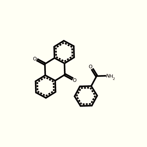 NC(=O)c1ccccc1.O=C1c2ccccc2C(=O)c2ccccc21